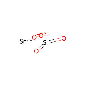 O=[Si]=O.[O-2].[O-2].[Sn+4]